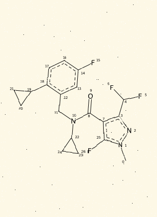 Cn1nc(C(F)F)c(C(=O)N(Cc2cc(F)ccc2C2CC2)C2CC2)c1F